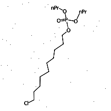 CCCOP(=O)(OCCC)OCCCCCCCCCCCl